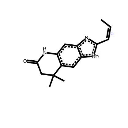 C/C=C\c1nc2cc3c(cc2[nH]1)C(C)(C)CC(=O)N3